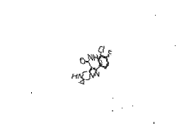 NC(=O)c1c(-c2ccc(F)c(Cl)c2)nn2c1CNC1(CC1)C2